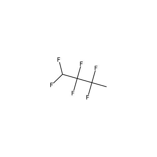 CC(F)(F)C(F)(F)C(F)F